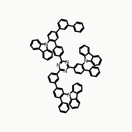 c1ccc(-c2cccc(-c3ccc(-n4c5ccccc5c5ccccc54)c(-c4ccc(-c5nc(-c6cccc(-c7ccc(-c8ccccc8)c(-n8c9ccccc9c9ccccc98)c7)c6)nc(-c6ccc(-c7ccccc7)c(-n7c8ccccc8c8ccccc87)c6)n5)cc4)c3)c2)cc1